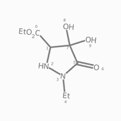 CCOC(=O)C1NN(CC)C(=O)C1(O)O